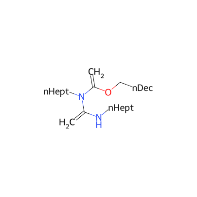 C=C(NCCCCCCC)N(CCCCCCC)C(=C)OCCCCCCCCCCC